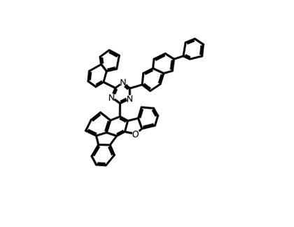 c1ccc(-c2ccc3cc(-c4nc(-c5cccc6ccccc56)nc(-c5c6cccc7c6c(c6oc8ccccc8c56)-c5ccccc5-7)n4)ccc3c2)cc1